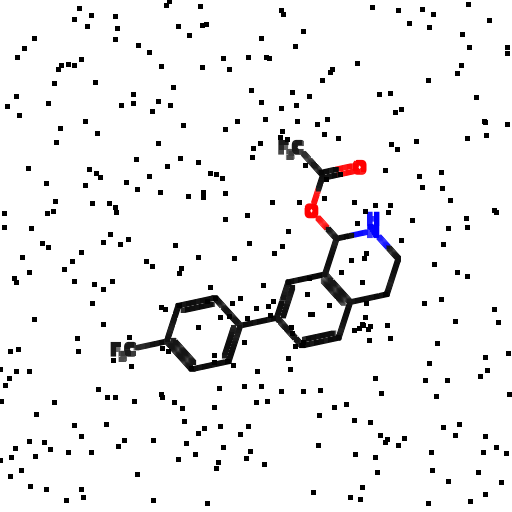 O=C(OC1NCCc2ccc(-c3ccc(C(F)(F)F)cc3)cc21)C(F)(F)F